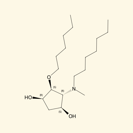 CCCCCCCN(C)[C@H]1[C@H](OCCCCCC)[C@H](O)C[C@@H]1O